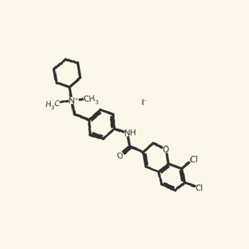 C[N+](C)(Cc1ccc(NC(=O)C2=Cc3ccc(Cl)c(Cl)c3OC2)cc1)C1CCCCC1.[I-]